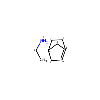 C1=C2CCC(C1)C2.CCN